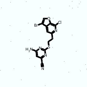 N#Cc1cc(N)nc(SCCc2cc3c(Br)coc3c(Cl)n2)n1